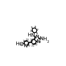 Nc1nc(NC2CCCCC2)c2cc(-c3ccc(O)nc3)ccc2n1